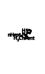 CCCCCCCC(C)(CCCCC)NC(=O)c1cccs1